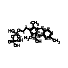 CC1=C(CCOP(=O)(O)OP(=O)(O)O)S[C@@]2([C@H](C)O)Nc3nc(C)ncc3CN12